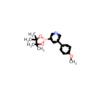 COc1ccc(-c2cncc(B3OC(C)(C)C(C)(C)O3)c2)cc1